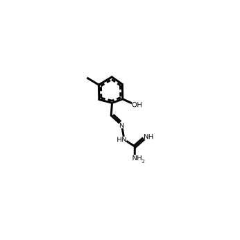 Cc1ccc(O)c(/C=N/NC(=N)N)c1